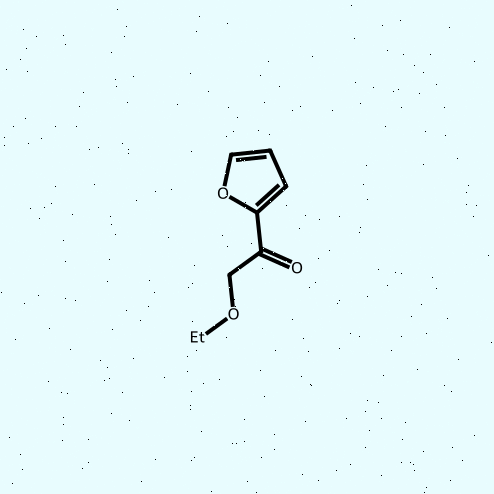 CCOCC(=O)c1ccco1